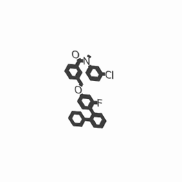 CN(C(=O)c1cccc(COc2ccc(-c3ccccc3C3CCCCC3)c(F)c2)c1)c1cccc(Cl)c1